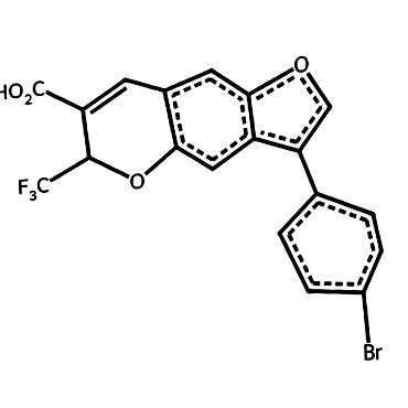 O=C(O)C1=Cc2cc3occ(-c4ccc(Br)cc4)c3cc2OC1C(F)(F)F